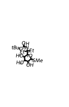 CCC(CC)(NC(=O)OC(C)(C)C)C1OC(SC)C(O)C(O)C1O